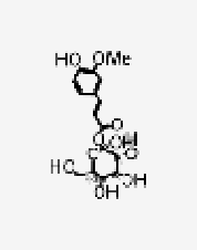 COc1cc(C=CC(=O)O[C@@]2(O)O[C@H](CO)[C@H](O)[C@H](O)[C@H]2O)ccc1O